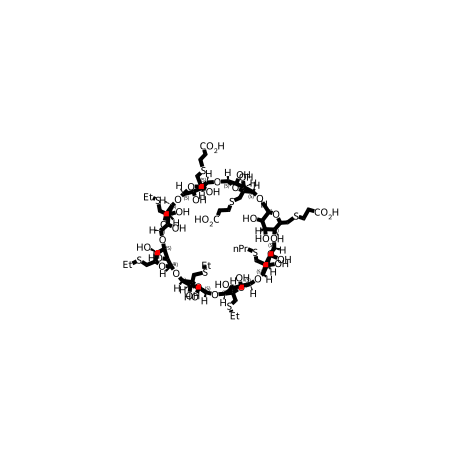 CCCSCC1O[C@@H]2O[C@@H]3C(CSCCC(=O)O)O[C@H](O[C@@H]4C(CSCCC(=O)O)O[C@H](O[C@@H]5C(CSCCC(=O)O)O[C@H](O[C@@H]6C(CSCC)O[C@H](O[C@@H]7C(O)[C@@H](OC(CSCC)[C@H]7O)O[C@@H]7C(CSCC)O[C@H](O[C@@H]8C(CSCC)O[C@H](O[C@H]1[C@H](O)C2O)C(O)[C@H]8O)C(O)[C@H]7O)C(O)[C@H]6O)C(O)[C@H]5O)C(O)[C@H]4O)C(O)[C@H]3O